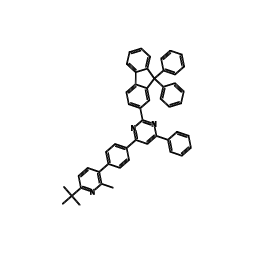 Cc1nc(C(C)(C)C)ccc1-c1ccc(-c2cc(-c3ccccc3)nc(-c3ccc4c(c3)C(c3ccccc3)(c3ccccc3)c3ccccc3-4)n2)cc1